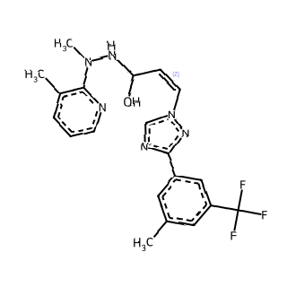 Cc1cc(-c2ncn(/C=C\C(O)NN(C)c3ncccc3C)n2)cc(C(F)(F)F)c1